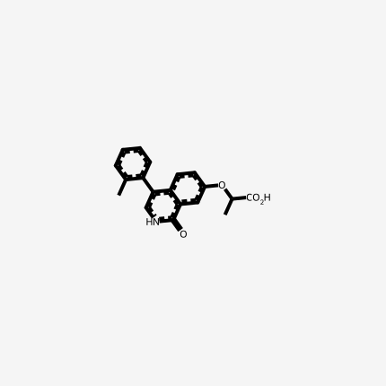 Cc1ccccc1-c1c[nH]c(=O)c2cc(OC(C)C(=O)O)ccc12